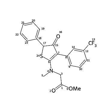 COC(=O)CN(C)C1=C(c2cccc(C(F)(F)F)c2)C(=O)C(c2ccccc2)S1